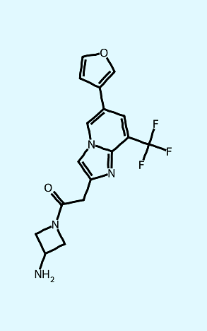 NC1CN(C(=O)Cc2cn3cc(-c4ccoc4)cc(C(F)(F)F)c3n2)C1